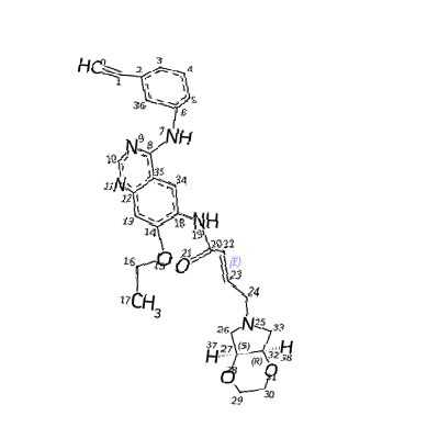 C#Cc1cccc(Nc2ncnc3cc(OCC)c(NC(=O)/C=C/CN4C[C@@H]5OCCO[C@@H]5C4)cc23)c1